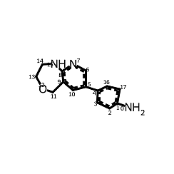 Nc1ccc(-c2cnc3c(c2)COCCN3)cc1